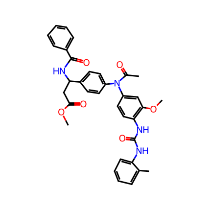 COC(=O)CC(NC(=O)c1ccccc1)c1ccc(N(C(C)=O)c2ccc(NC(=O)Nc3ccccc3C)c(OC)c2)cc1